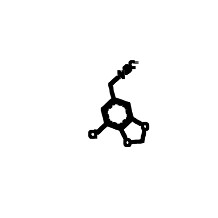 [C-]#[N+]Cc1cc(Cl)c2c(c1)OCO2